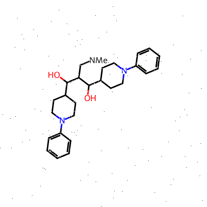 CNCC(C(O)C1CCN(c2ccccc2)CC1)C(O)C1CCN(c2ccccc2)CC1